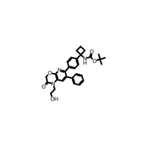 CC(C)(C)OC(=O)NC1(c2ccc(-c3nc4c(cc3-c3ccccc3)N(CCO)C(=O)CO4)cc2)CCC1